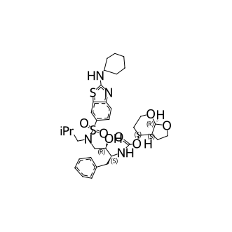 CC(C)CN(C[C@@H](O)[C@H](Cc1ccccc1)NC(=O)O[C@H]1CCO[C@H]2OCC[C@H]21)S(=O)(=O)c1ccc2nc(NC3CCCCC3)sc2c1